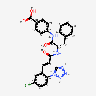 O=C(/C=C/c1cc(Cl)ccc1-n1cnnn1)N[C@@H](Cc1ccccc1)C(=O)Nc1ccc(C(=O)O)cc1